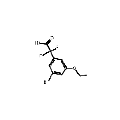 CCOc1cc(Br)cc(C(F)(F)C(=O)O)c1